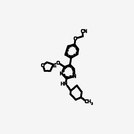 CC1CCC(Nc2ncc(-c3ccc(OCC#N)cc3)c(O[C@@H]3CCOC3)n2)CC1